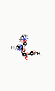 COc1ccc(COc2cc(CC(=O)Nc3cc([C@H]4CC[C@@H](OC(=O)NC(C)C)C4)nn3C(C)(C)C)ccc2C=O)cc1